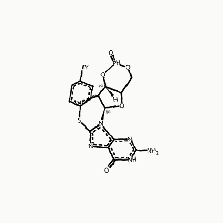 CC(C)c1ccc(Sc2nc3c(=O)[nH]c(N)nc3n2[C@@H]2OC3CO[PH](=O)O[C@H]3C2O)cc1